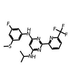 CSc1cc(F)cc(Nc2cc(NC(C)C)nc(-c3cccc(C(F)(F)F)n3)n2)c1